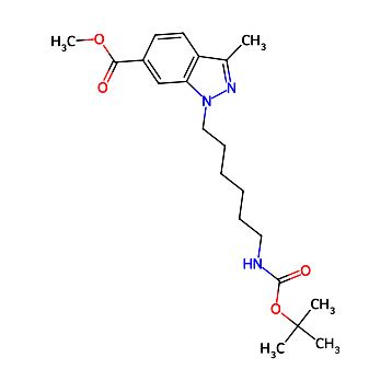 COC(=O)c1ccc2c(C)nn(CCCCCCNC(=O)OC(C)(C)C)c2c1